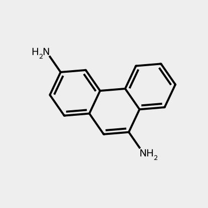 Nc1ccc2cc(N)c3ccccc3c2c1